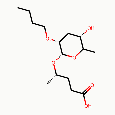 CCCCO[C@@H]1C[C@H](O)C(C)O[C@@H]1O[C@@H](C)CCC(=O)O